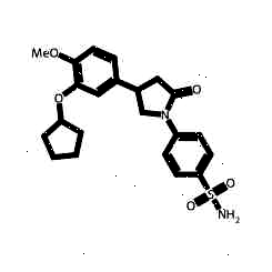 COc1ccc(C2CC(=O)N(c3ccc(S(N)(=O)=O)cc3)C2)cc1OC1CCCC1